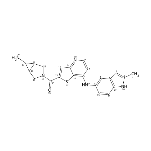 Cc1cc2cc(Nc3ccnc4cc(C(=O)N5CC6C(N)C6C5)sc34)ccc2[nH]1